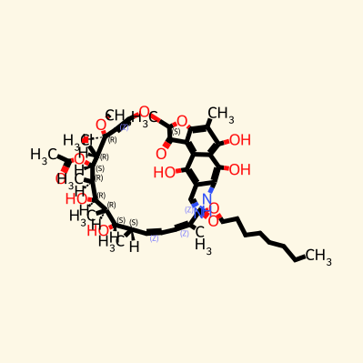 CCCCCCCCO/N=C\c1c2c(O)c3c(O)c(C)c4c(c3c1O)C(=O)[C@@](C)(O/C=C\[C@H](OC)[C@@H](C)[C@@H](OC(C)=O)[C@H](C)[C@H](O)[C@H](C)[C@@H](O)[C@@H](C)/C=C\C=C(\C)C(=O)N2)O4